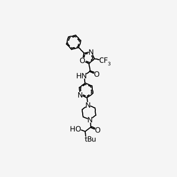 CC(C)(C)C(O)C(=O)N1CCN(c2ccc(NC(=O)c3oc(-c4ccccc4)nc3C(F)(F)F)cn2)CC1